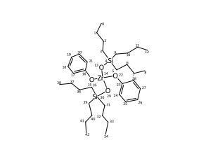 CCCC[Si](CCCC)(CCCC)[O][Zr]([O]c1ccccc1)([O]c1ccccc1)[O][Si](CCCC)(CCCC)CCCC